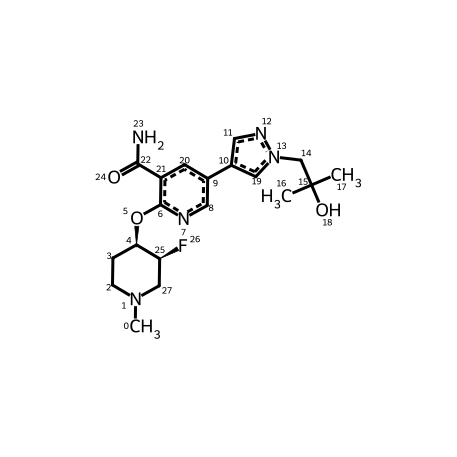 CN1CC[C@@H](Oc2ncc(-c3cnn(CC(C)(C)O)c3)cc2C(N)=O)[C@@H](F)C1